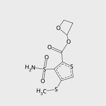 CSc1csc(C(=O)OC2CCO2)c1S(N)(=O)=O